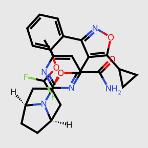 Cc1cc(C(N)=O)nc(N2[C@@H]3CC[C@H]2C[C@@H](OCc2c(-c4ccccc4OC(F)F)noc2C2CC2)C3)n1